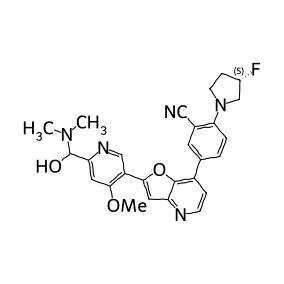 COc1cc(C(O)N(C)C)ncc1-c1cc2nccc(-c3ccc(N4CC[C@H](F)C4)c(C#N)c3)c2o1